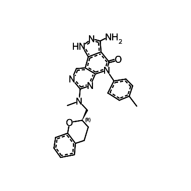 Cc1ccc(-n2c(=O)c3c(N)n[nH]c3c3cnc(N(C)C[C@H]4CCc5ccccc5O4)nc32)cc1